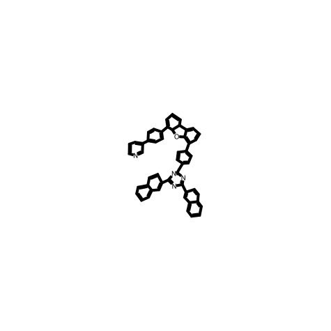 C1=CC2c3cccc(-c4ccc(-c5nc(-c6ccc7ccccc7c6)nc(-c6ccc7ccccc7c6)n5)cc4)c3OC2C(c2ccc(-c3cccnc3)cc2)=C1